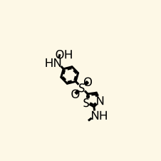 CNc1ncc(S(=O)(=O)c2ccc(NO)cc2)s1